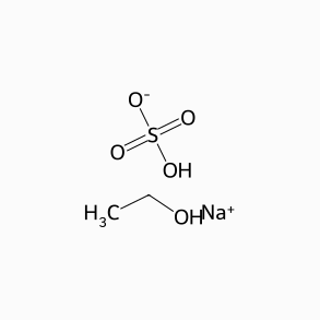 CCO.O=S(=O)([O-])O.[Na+]